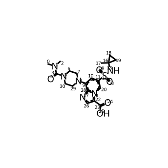 CN(C)C(=O)N1CCN(c2cc(S(=O)(=O)NC3(C)CC3)cn3c(C(=O)O)cnc23)CC1